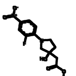 COC(=O)CC1(O)CCN(c2ccc([N+](=O)[O-])cc2F)C1